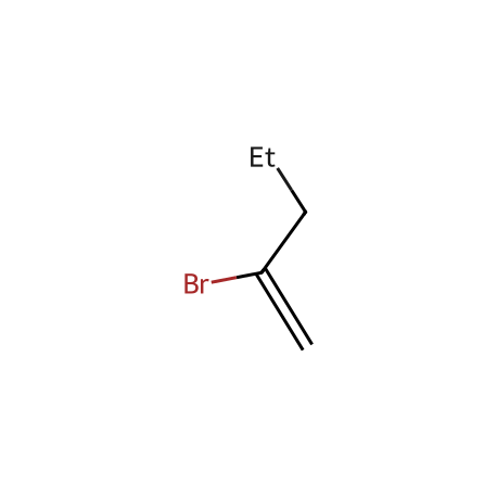 C=C(Br)CCC